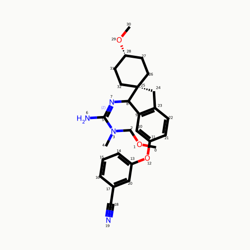 COCN(C)/C(N)=N\C1c2cc(Oc3cccc(C#N)c3)ccc2C[C@]12CC[C@@H](OC)CC2